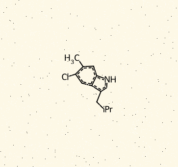 Cc1cc2[nH]cc(CC(C)C)c2cc1Cl